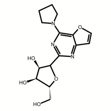 OC[C@H]1OC(c2nc(N3CCCC3)c3occc3n2)[C@H](O)[C@@H]1O